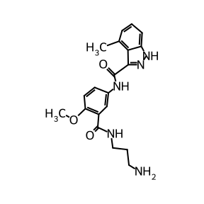 COc1ccc(NC(=O)c2n[nH]c3cccc(C)c23)cc1C(=O)NCCCN